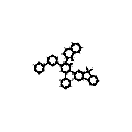 CC1(C)c2ccccc2-c2ccc(-c3c(-c4ccccc4)cc(-c4cccc(-c5ccccc5)c4)c4c3oc3c5ccccc5ccc34)cc21